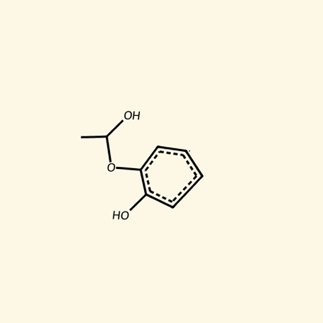 CC(O)Oc1c[c]ccc1O